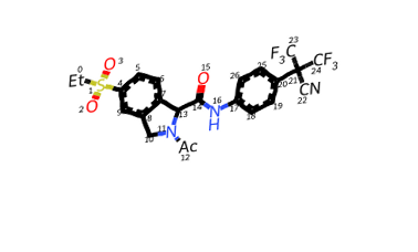 CCS(=O)(=O)c1ccc2c(c1)CN(C(C)=O)C2C(=O)Nc1ccc(C(C#N)(C(F)(F)F)C(F)(F)F)cc1